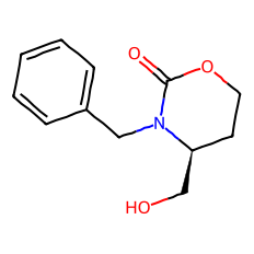 O=C1OCC[C@@H](CO)N1Cc1ccccc1